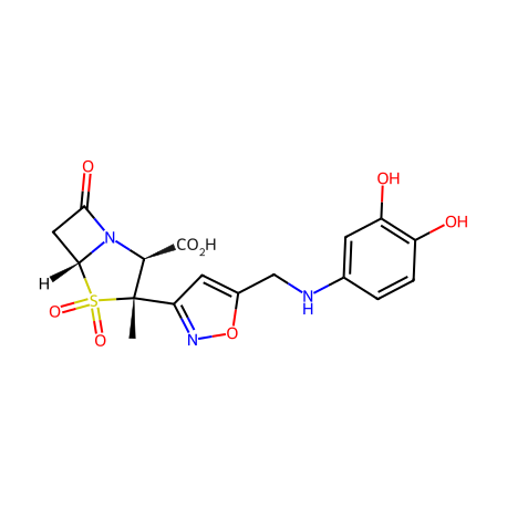 C[C@]1(c2cc(CNc3ccc(O)c(O)c3)on2)[C@H](C(=O)O)N2C(=O)C[C@H]2S1(=O)=O